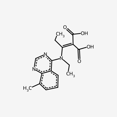 CCC(=C(C(=O)O)C(=O)O)N(CC)c1ncnc2c(C)cccc12